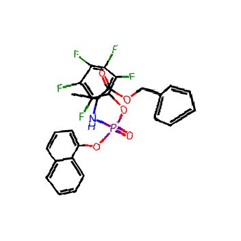 CC(NP(=O)(Oc1c(F)c(F)c(F)c(F)c1F)Oc1cccc2ccccc12)C(=O)OCc1ccccc1